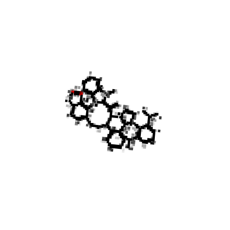 C=C1C2N(C)c3ccccc3N2c2c(ccc3oc4ccccc4c23)CCC2c3ccccc3-c3n(-c4c(C(C)C)cccc4C(C)C)cc[n+]3C12